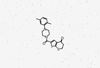 Cc1ccc(C)c(N2CCN(C(=O)c3cc4c(s3)SCCC4=O)CC2)c1